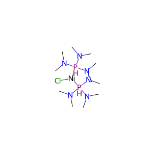 CN(C)[PH](N(C)C)(N(C)C)[Ni]([Cl])[PH](N(C)C)(N(C)C)N(C)C